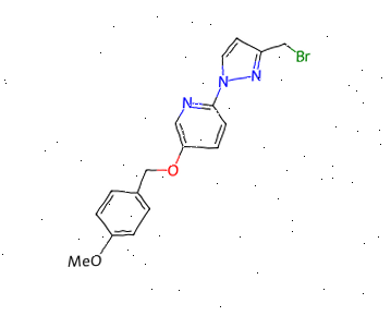 COc1ccc(COc2ccc(-n3ccc(CBr)n3)nc2)cc1